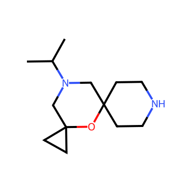 CC(C)N1CC2(CCNCC2)OC2(CC2)C1